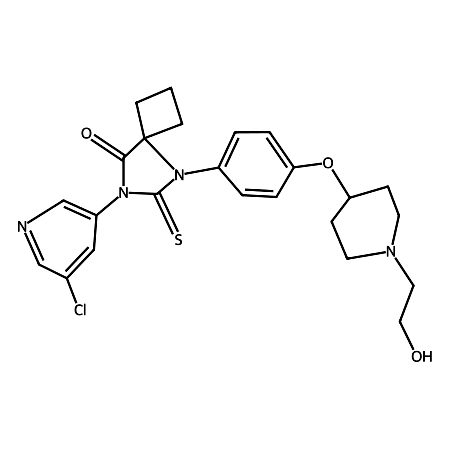 O=C1N(c2cncc(Cl)c2)C(=S)N(c2ccc(OC3CCN(CCO)CC3)cc2)C12CCC2